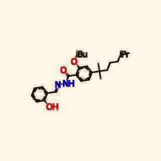 CCC(C)Oc1cc(C(C)(C)CCCC(C)C)ccc1C(=O)NN=Cc1ccccc1O